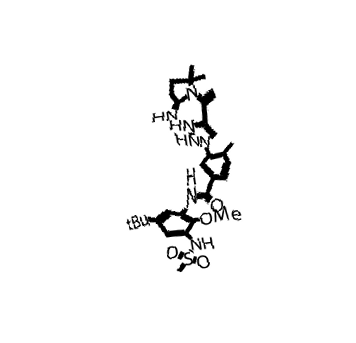 C=C(C1=CN(c2cc(C(=O)Nc3cc(C(C)(C)C)cc(NS(C)(=O)=O)c3OC)ccc2C)NN1)N1C(=N)CCC1(C)C